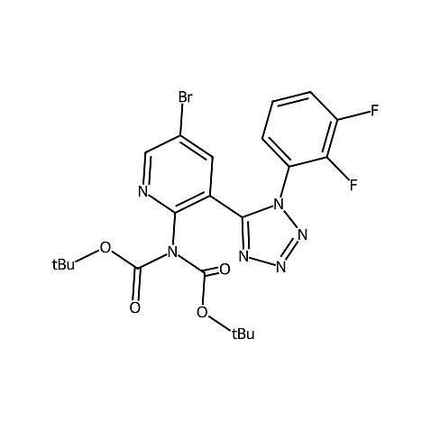 CC(C)(C)OC(=O)N(C(=O)OC(C)(C)C)c1ncc(Br)cc1-c1nnnn1-c1cccc(F)c1F